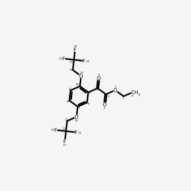 CCOC(=O)C(=O)c1cc(OCC(F)(F)F)ccc1OCC(F)(F)F